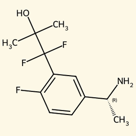 C[C@@H](N)c1ccc(F)c(C(F)(F)C(C)(C)O)c1